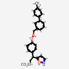 CCOC(=O)CC(c1ccc(OOCc2cccc(-c3ccc(C(F)(F)F)cc3)c2)cc1)c1ccno1